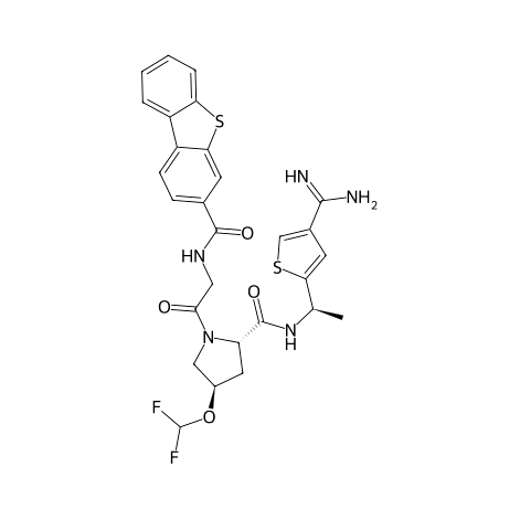 C[C@@H](NC(=O)[C@@H]1C[C@@H](OC(F)F)CN1C(=O)CNC(=O)c1ccc2c(c1)sc1ccccc12)c1cc(C(=N)N)cs1